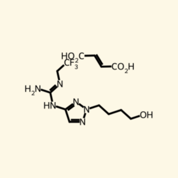 NC(=NCC(F)(F)F)Nc1cnn(CCCCO)n1.O=C(O)C=CC(=O)O